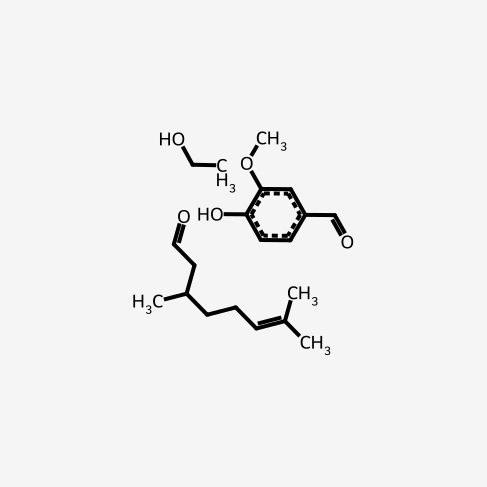 CC(C)=CCCC(C)CC=O.CCO.COc1cc(C=O)ccc1O